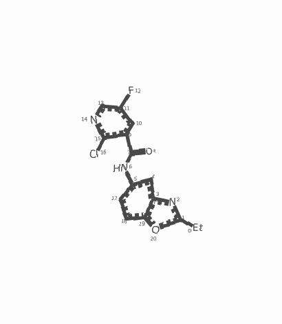 CCc1nc2cc(NC(=O)c3cc(F)cnc3Cl)ccc2o1